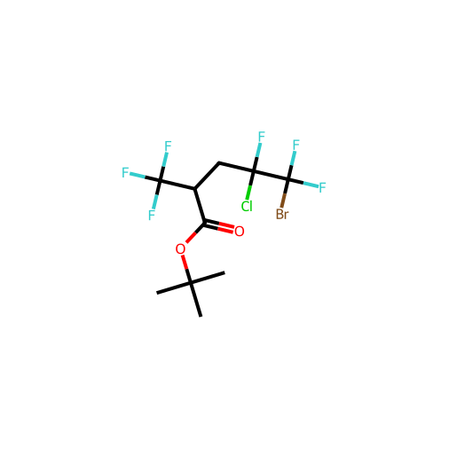 CC(C)(C)OC(=O)C(CC(F)(Cl)C(F)(F)Br)C(F)(F)F